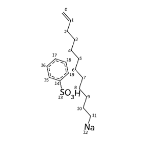 C=CCCCCCCCCC[CH2][Na].O=S(=O)(O)c1ccccc1